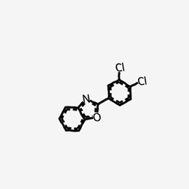 Clc1ccc(-c2nc3ccccc3o2)cc1Cl